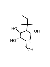 CCC(C)(C)C1[C@H](O)O[C@@H](CO)[C@H](O)[C@H]1O